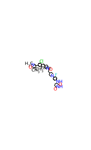 COc1cc(-c2cn(C)c(=O)c(C)c2C)cc(Cl)c1C=C1CCN(C(=O)CC2CCN(c3ccc(NC4CCC(=O)NC4=O)cc3F)CC2)CC1